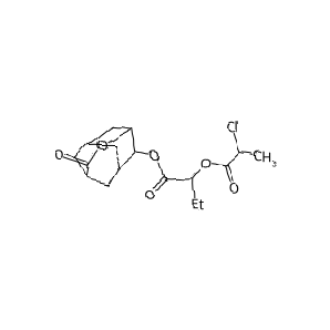 CCC(OC(=O)C(C)Cl)C(=O)OC1C2CC3CC(C2)C(=O)OC1C3